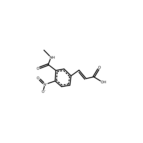 CNC(=O)c1cc(/C=C/C(=O)O)ccc1[N+](=O)[O-]